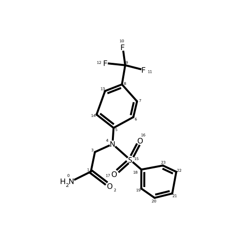 NC(=O)CN(c1ccc(C(F)(F)F)cc1)S(=O)(=O)c1ccccc1